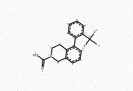 O=C(O)N1CCc2c(cccc2-c2ccccc2C(F)(F)F)C1